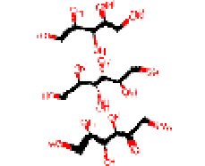 O=C(CO)[C@H](O)[C@@H](O)[C@H](O)CO.OC[C@@H](O)[C@@H](O)[C@H](O)[C@H](O)CO.OC[C@@H](O)[C@H](O)[C@@H](O)CO